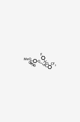 COC(=O)c1ccc(OCCCN(Cc2cccc(C(F)(F)F)c2Cl)CC(C)(C)c2ccc(F)cc2)cc1S(C)(=O)=O